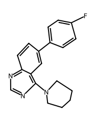 Fc1ccc(-c2ccc3ncnc(N4CCCCC4)c3c2)cc1